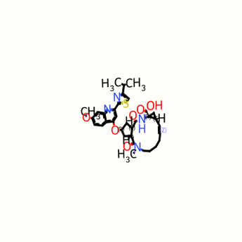 COc1ccc2c(O[C@@H]3C[C@H]4C(=O)N[C@]5(C(=O)O)C[C@H]5/C=C\CCCCN(C)C(=O)[C@@H]4C3)cc(-c3nc(C(C)C)cs3)nc2c1